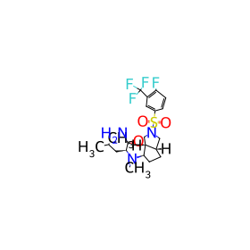 CC(C)C[C@@H](C(N)=O)N(C)[C@@H]1CC[C@H]2CN(S(=O)(=O)c3ccc(F)c(C(F)(F)F)c3)C[C@H]21